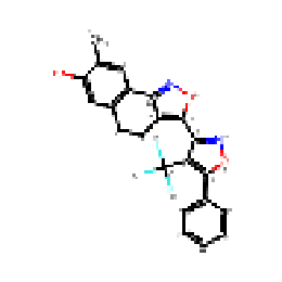 Cc1cc2c(cc1O)CCc1c-2noc1-c1noc(-c2ccccc2)c1C(F)(F)F